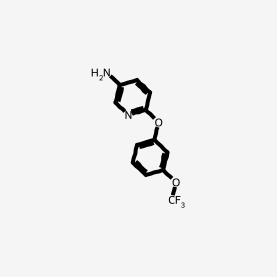 Nc1ccc(Oc2cccc(OC(F)(F)F)c2)nc1